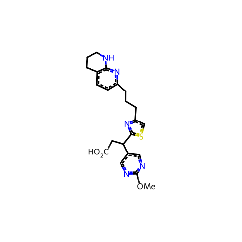 COc1ncc(C(CC(=O)O)c2nc(CCCc3ccc4c(n3)NCCC4)cs2)cn1